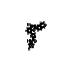 CCC(NC(=O)c1ccc2cnccc2c1)c1cccc(-c2csc(C(=O)Nc3cnn(C)c3)n2)c1